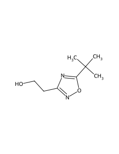 CC(C)(C)c1nc(CCO)no1